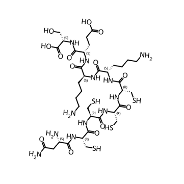 NCCCC[C@H](NC(=O)[C@H](CCCCN)NC(=O)[C@H](CS)NC(=O)[C@H](CS)NC(=O)[C@H](CS)NC(=O)[C@H](CS)NC(=O)[C@@H](N)CC(N)=O)C(=O)N[C@@H](CCC(=O)O)C(=O)N[C@@H](CO)C(=O)O